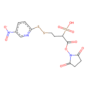 O=C(ON1C(=O)CCC1=O)C(CCSSc1ccc([N+](=O)[O-])cn1)S(=O)(=O)O